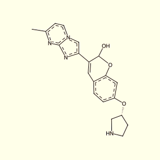 Cc1ccn2cc(C3=Cc4ccc(O[C@@H]5CCNC5)cc4OC3O)nc2n1